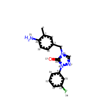 Cc1cc(Cn2cnn(-c3cccc(F)c3)c2=O)ccc1N